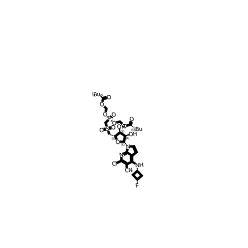 CC[C@H](C)C(=O)OCOP(=O)(CS(=O)(=O)C[C@H]1O[C@@H](n2ccc3c(N[C@H]4C[C@@H](F)C4)c(C#N)c(Cl)nc32)[C@H](O)[C@@H]1O)OCOC(=O)[C@@H](C)CC